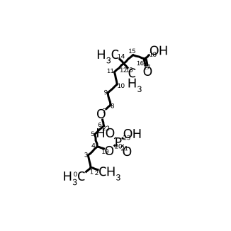 CC(C)CC(CCOCCCCC(C)(C)CC(=O)O)OP(=O)(O)O